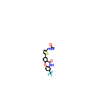 CC(=O)NCc1ccc(-c2ccc3c(c2)C(=O)Nc2cc(C(F)(F)F)ccc2O3)s1